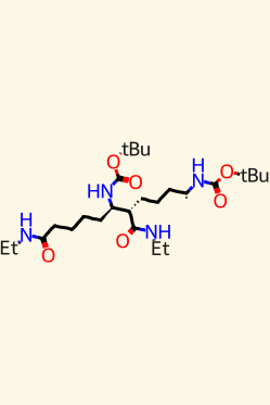 CCNC(=O)CCCC[C@@H](NC(=O)OC(C)(C)C)[C@H](CCC[CH]NC(=O)OC(C)(C)C)C(=O)NCC